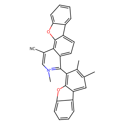 Cc1cc2c(oc3ccccc32)c(-c2c3ccc4c5ccccc5oc4c3c(C#N)c[n+]2C)c1C